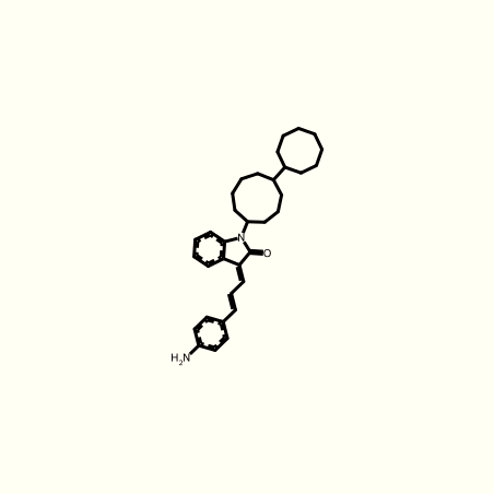 Nc1ccc(/C=C/C=C2/C(=O)N(C3CCCCC(C4CCCCCCC4)CCC3)c3ccccc32)cc1